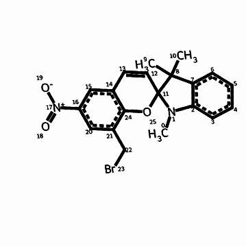 CN1c2ccccc2C(C)(C)C12C=Cc1cc([N+](=O)[O-])cc(CBr)c1O2